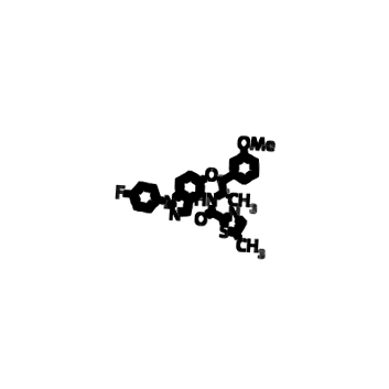 COc1cccc([C@@H](Oc2ccc3c(cnn3-c3ccc(F)cc3)c2)[C@H](C)NC(=O)c2ncc(C)s2)c1